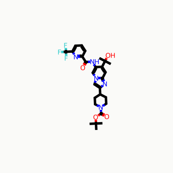 CC(C)(C)OC(=O)N1CCC(c2cn3cc(NC(=O)c4cccc(C(F)(F)F)n4)c(C(C)(C)O)cc3n2)CC1